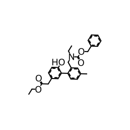 CCOC(=O)Cc1ccc(O)c(-c2ccc(C)cc2CN(CC)C(=O)OCc2ccccc2)c1